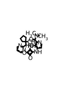 CN(C)C(=O)c1nccc(Nc2c(N[C@H](c3ncccn3)C3(C)CCCC3)c(=O)c2=O)c1O